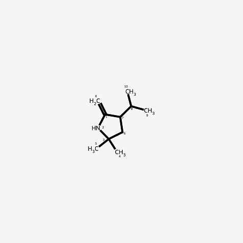 C=C1NC(C)(C)CC1C(C)C